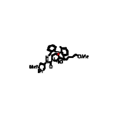 CNCC(CC(C)C)NC(=O)N1CCC[C@@H]([C@@](O)(CCCCOC)c2cccc(C)c2Oc2ccccc2C)C1